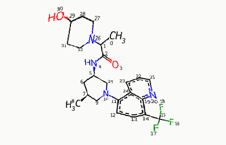 CC(C(=O)N[C@@H]1C[C@H](C)CN(c2ccc(C(F)(F)F)c3ncccc23)C1)N1CCC(O)CC1